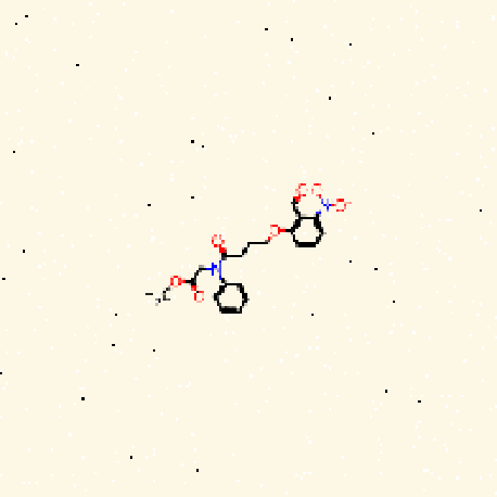 COC(=O)CN(C(=O)CCCOc1cccc([N+](=O)[O-])c1C=O)c1ccccc1